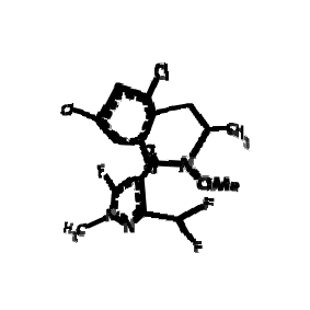 CON(C(=O)c1c(C(F)F)nn(C)c1F)C(C)Cc1c(Cl)cc(Cl)cc1Cl